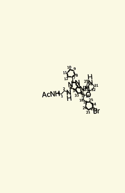 CC(=O)NCCNc1nc(-c2ccccc2)nc2[nH]c(C(Cc3ccc(Br)cc3)OC3CCNCC3)cc12